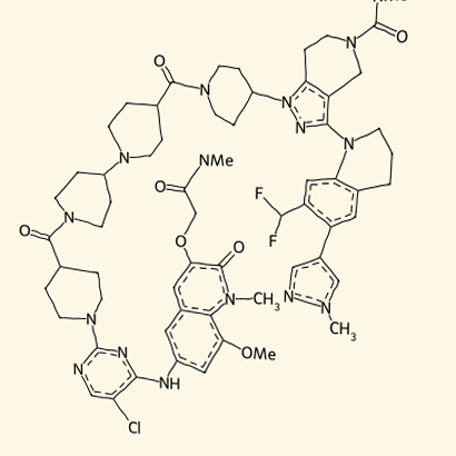 CNC(=O)COc1cc2cc(Nc3nc(N4CCC(C(=O)N5CCC(N6CCC(C(=O)N7CCC(n8nc(N9CCCc%10cc(-c%11cnn(C)c%11)c(C(F)F)cc%109)c9c8CCN(C(=O)NC)C9)CC7)CC6)CC5)CC4)ncc3Cl)cc(OC)c2n(C)c1=O